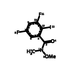 CON(C)C(=O)c1cc(F)cc(F)c1I